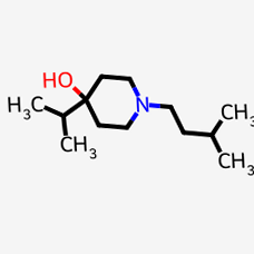 CC(C)CCN1CCC(O)(C(C)C)CC1